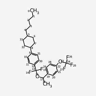 CCCCCC1CCC(c2ccc(C(F)(F)OC(C)c3ccc(OC(F)(F)F)cc3)cc2)CC1